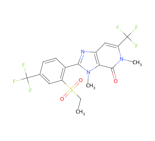 CCS(=O)(=O)c1cc(C(F)(F)F)ccc1-c1nc2cc(C(F)(F)F)n(C)c(=O)c2n1C